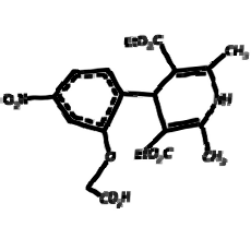 CCOC(=O)C1=C(C)NC(C)=C(C(=O)OCC)C1c1ccc([N+](=O)[O-])cc1OCC(=O)O